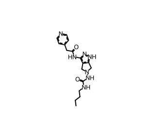 CCCCNC(=O)NN1Cc2[nH]nc(NC(=O)Cc3ccncc3)c2C1